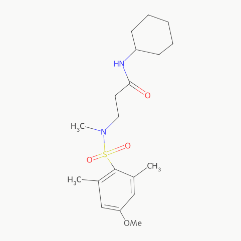 COc1cc(C)c(S(=O)(=O)N(C)CCC(=O)NC2CCCCC2)c(C)c1